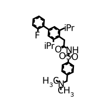 CC(C)c1cc(-c2ccccc2F)cc(C(C)C)c1CC(=O)NS(=O)(=O)c1ccc(CN(C)C)cc1